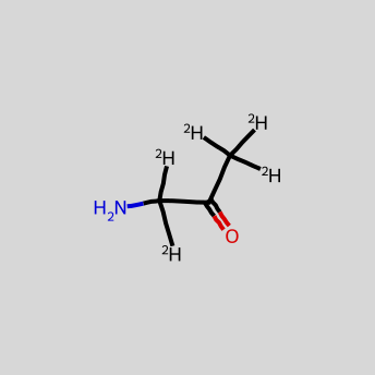 [2H]C([2H])([2H])C(=O)C([2H])([2H])N